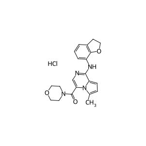 Cc1ccc2c(Nc3cccc4c3OCC4)ncc(C(=O)N3CCOCC3)n12.Cl